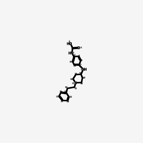 O=C(O)Nc1ccc(NC2CCN(CCc3ccccc3)CC2)cc1